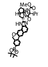 COC(=O)N[C@H](C(=O)N1[C@H](c2nc3ccc4cc5c(cc4c3[nH]2)OCc2cc(B3OC(C)(C)C(C)(C)O3)ccc2-5)C[C@@H]2CCC[C@@H]21)C(C)C